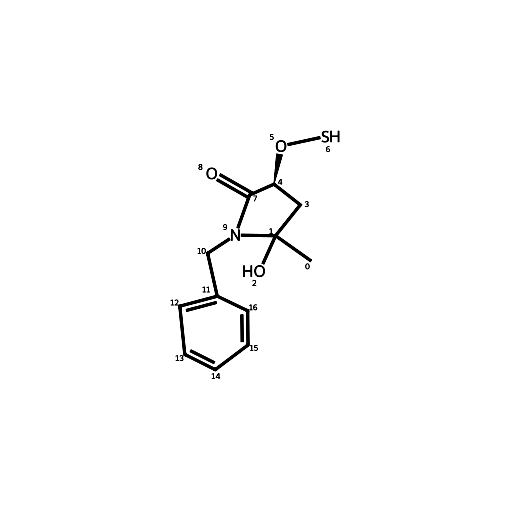 CC1(O)C[C@H](OS)C(=O)N1Cc1ccccc1